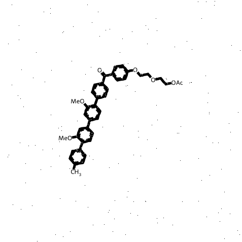 COc1cc(-c2ccc(-c3ccc(C(=O)c4ccc(OCCOCCOC(C)=O)cc4)cc3)c(OC)c2)ccc1-c1ccc(C)cc1